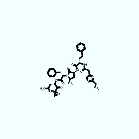 CCc1nc(CC(=O)N[C@@H](CCc2ccccc2)C(=O)N[C@H]2CC(C)N([C@@H](Cc3ccccc3)C(=O)N[C@@H](CC(C)C)C(=O)C3(C)CO3)C2=O)cs1